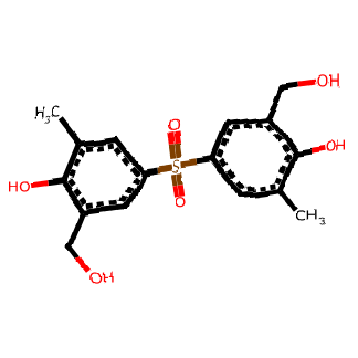 Cc1cc(S(=O)(=O)c2cc(C)c(O)c(CO)c2)cc(CO)c1O